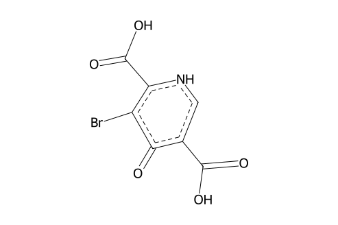 O=C(O)c1[nH]cc(C(=O)O)c(=O)c1Br